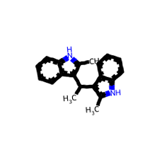 Cc1[nH]c2ccccc2c1C(C)c1c(C)[nH]c2ccccc12